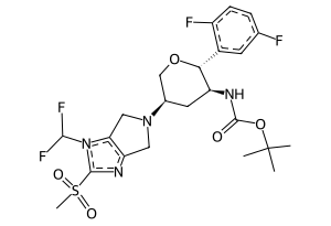 CC(C)(C)OC(=O)N[C@H]1C[C@@H](N2Cc3nc(S(C)(=O)=O)n(C(F)F)c3C2)CO[C@@H]1c1cc(F)ccc1F